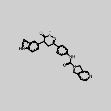 O=C1NN=C(c2ccc(NC(=O)N3Cc4ccncc4C3)cc2)CC1c1ccc2[nH]ccc2c1